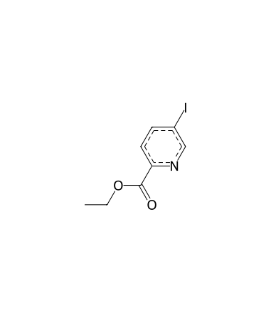 CCOC(=O)c1ccc(I)cn1